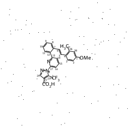 COc1ccc(C=Cc2ccccc2-c2cccc(-n3ncc(C(=O)O)c3C(F)(F)F)n2)c(C)c1